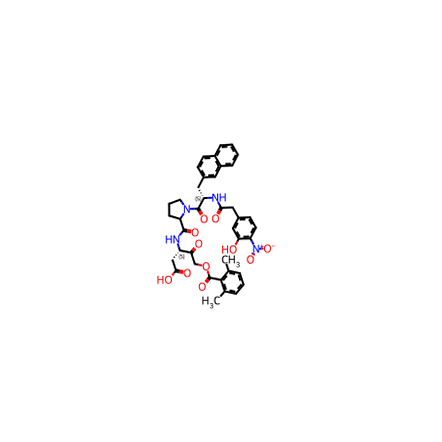 Cc1cccc(C)c1C(=O)OCC(=O)[C@H](CC(=O)O)NC(=O)C1CCCN1C(=O)[C@H](Cc1ccc2ccccc2c1)NC(=O)Cc1ccc([N+](=O)[O-])c(O)c1